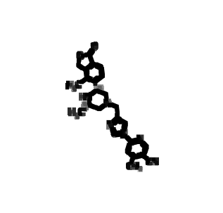 Cc1cc(-n2cnc(CN3C[C@@H](c4ccc5c(c4C)COC5=O)N[C@@H](C)C3)c2)ncc1C#N